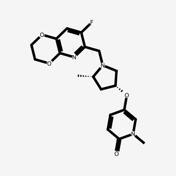 C[C@H]1C[C@@H](Oc2ccc(=O)n(C)c2)CN1Cc1nc2c(cc1F)OCCO2